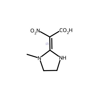 CN1CCN/C1=C(\C(=O)O)[N+](=O)[O-]